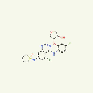 O=S1(=Nc2cc(Cl)c3c(Nc4ccc(F)cc4O[C@@H]4COC[C@H]4O)ncnc3c2)CCCC1